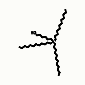 CCCCCCCCCCCC[N+](CCCCCCO)(CCCCCCCCCCCC)CCCCCCCCCCCC